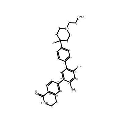 COCCN1CCC(F)(c2ccc(-c3cc(-c4ccc5c(c4)CCNC5=O)c(N)nc3F)cc2)CC1